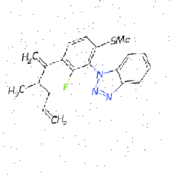 C=CCC(C)C(=C)c1ccc(SC)c(-n2nnc3ccccc32)c1F